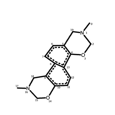 CN1COc2c(ccc3c4c(ccc23)OCN(C)C4)C1